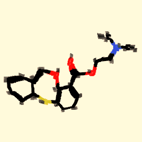 CN(C)CCOC(=O)C1=CCCC2=C1OC=C1C=CC=CC1S2